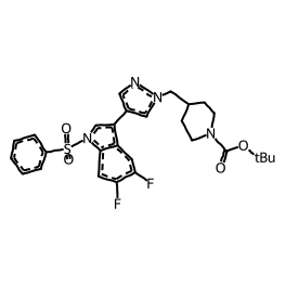 CC(C)(C)OC(=O)N1CCC(Cn2cc(-c3cn(S(=O)(=O)c4ccccc4)c4cc(F)c(F)cc34)cn2)CC1